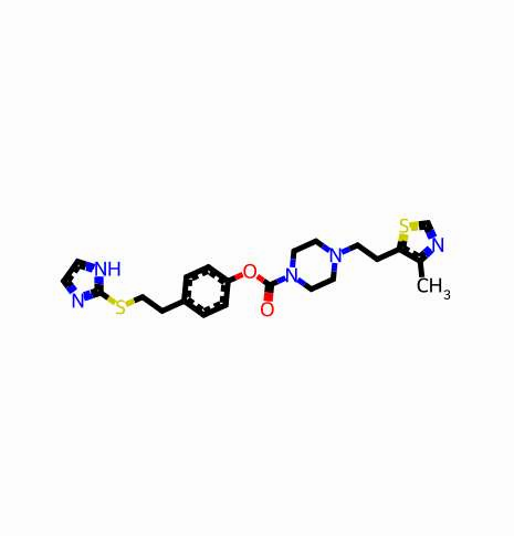 Cc1ncsc1CCN1CCN(C(=O)Oc2ccc(CCSc3ncc[nH]3)cc2)CC1